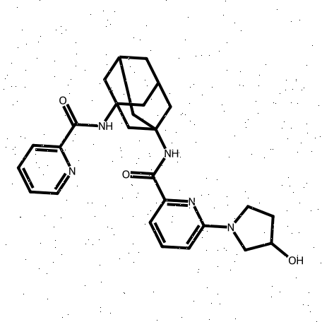 O=C(NC12CC3CC(C1)CC(NC(=O)c1cccc(N4CCC(O)C4)n1)(C3)C2)c1ccccn1